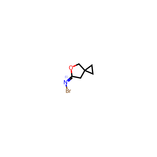 Br/N=C1\CC2(CC2)CO1